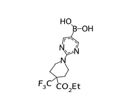 CCOC(=O)C1(C(F)(F)F)CCN(c2ncc(B(O)O)cn2)CC1